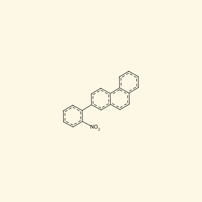 O=[N+]([O-])c1ccccc1-c1ccc2c(ccc3ccccc32)c1